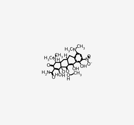 CCO.CN(C)c1cc([N+](=O)[O-])c(O)c2c1C[C@H]1C[C@H]3[C@H](N(C)C)C(=O)C(C(N)=O)=C(O)[C@@]3(O)C(=O)C1=C2O